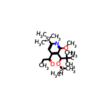 CCC(=O)c1cc([Si](C)(C)C)nc(OC)c1C(O[SiH](C)C)C(C)(C)C